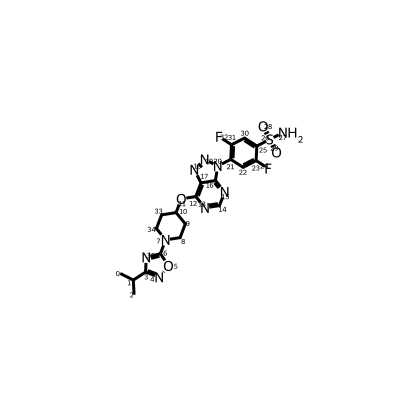 CC(C)c1noc(N2CCC(Oc3ncnc4c3nnn4-c3cc(F)c(S(N)(=O)=O)cc3F)CC2)n1